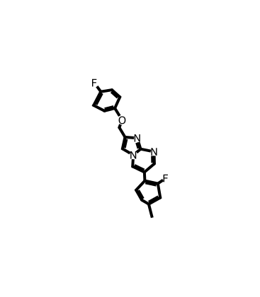 Cc1ccc(-c2cnc3nc(COc4ccc(F)cc4)cn3c2)c(F)c1